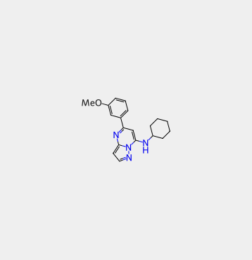 COc1cccc(-c2cc(NC3CCCCC3)n3nccc3n2)c1